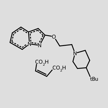 CC(C)(C)C1CCN(CCOc2cc3ccccn3n2)CC1.O=C(O)/C=C\C(=O)O